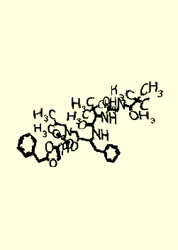 CC(C)CN(CC(O)C(Cc1ccccc1)NC(=O)C(NC(=O)CNC(=O)C(C)(C)C)C(C)(C)C)S(=O)(=O)C1=COC(Cc2ccccc2)O1